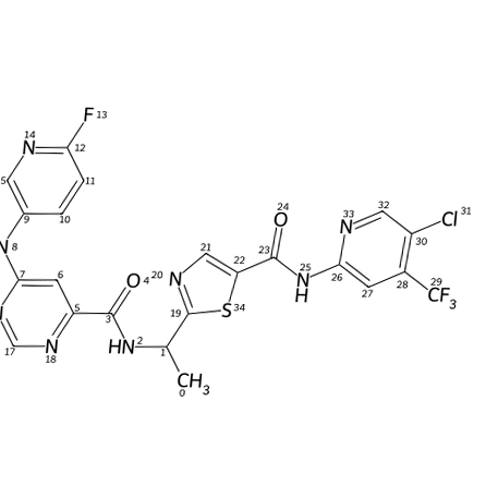 CC(NC(=O)c1cc(Nc2ccc(F)nc2)ncn1)c1ncc(C(=O)Nc2cc(C(F)(F)F)c(Cl)cn2)s1